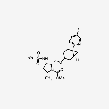 CCCS(=O)(=O)N[C@H]1C[C@@H](C)N(C(=O)OC)[C@H]1CO[C@H]1CC[C@@]2(c3ncc(F)cn3)C[C@H]2C1